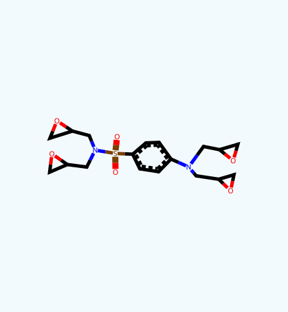 O=S(=O)(c1ccc(N(CC2CO2)CC2CO2)cc1)N(CC1CO1)CC1CO1